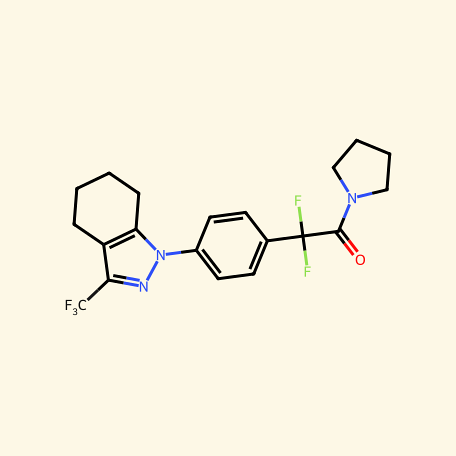 O=C(N1CCCC1)C(F)(F)c1ccc(-n2nc(C(F)(F)F)c3c2CCCC3)cc1